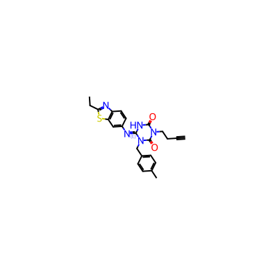 C#CCCn1c(=O)[nH]/c(=N\c2ccc3nc(CC)sc3c2)n(Cc2ccc(C)cc2)c1=O